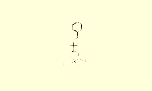 CN(CC(=O)C(C)(C)OCc1ccccc1)C(C)(C)C